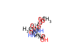 COC(=O)OC[C@@H]1C[C@@H](OC(C)=O)[C@H](Nc2nc(=O)[nH]cc2C=CC(=O)O)O1